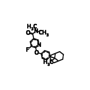 CN(C)C(=O)c1cnc(Oc2ccc(C3(C)C4CCCC3CCC4)cc2)c(F)c1